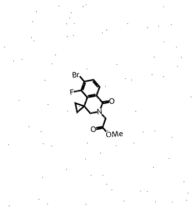 COC(=O)CN1CC2(CC2)c2c(ccc(Br)c2F)C1=O